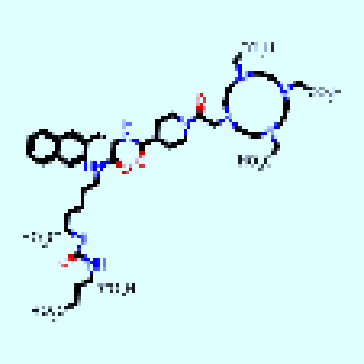 O=C(O)CC[C@H](NC(=O)N[C@@H](CCCCNC(=O)[C@H](Cc1ccc2ccccc2c1)NC(=O)C1CCN(C(=O)CN2CCN(CC(=O)O)CCN(CC(=O)O)CCN(CC(=O)O)CC2)CC1)C(=O)O)C(=O)O